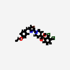 CCOc1ccc(Cc2csc(N3CCC(S(=O)(=O)c4cccc(Cl)c4Cl)CC3)n2)cc1